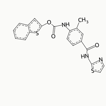 Cc1cc(C(=O)Nc2nccs2)ccc1NC(=O)Oc1cc2ccccc2s1